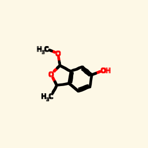 COC1OC(C)c2ccc(O)cc21